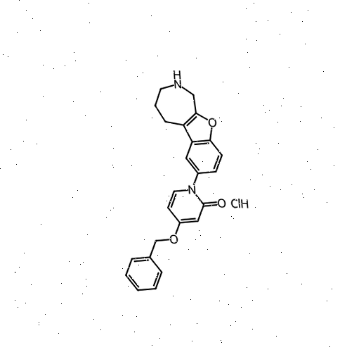 Cl.O=c1cc(OCc2ccccc2)ccn1-c1ccc2oc3c(c2c1)CCCNC3